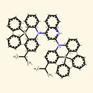 CC(C)c1ccc2c(c1)[Si](c1ccccc1)(c1ccccc1)c1ccccc1N2c1cc(N2c3ccccc3[Si](c3ccccc3)(c3ccccc3)c3cc(C(C)C)ccc32)c2ccccc2n1